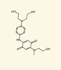 CN(CCO)C1=CC(=O)C(Nc2ccc(N(CCO)CCO)cc2)=CC1=O